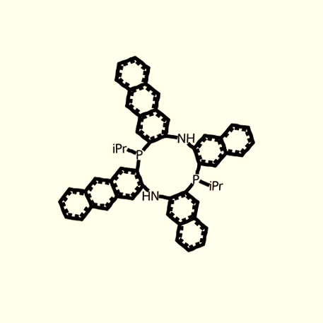 CC(C)P1c2cc3ccccc3cc2Nc2cc3cc4ccccc4cc3cc2P(C(C)C)c2cc3cc4ccccc4cc3cc2Nc2cc3ccccc3cc21